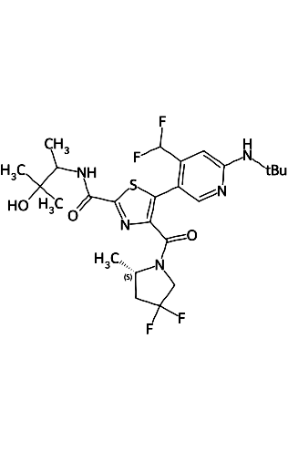 CC(NC(=O)c1nc(C(=O)N2CC(F)(F)C[C@@H]2C)c(-c2cnc(NC(C)(C)C)cc2C(F)F)s1)C(C)(C)O